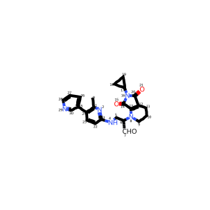 Cc1nc(NCC(C=O)N2CCCC3=C2C(=O)N(C2CC2)C3=O)ccc1-c1cccnc1